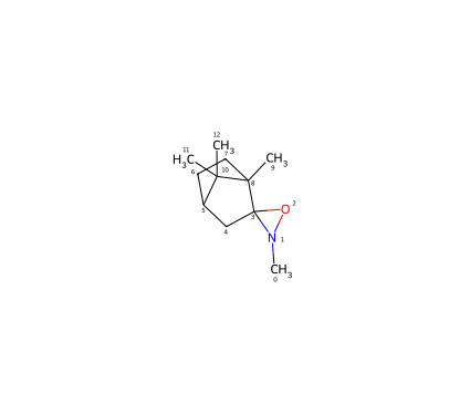 CN1OC12CC1CCC2(C)C1(C)C